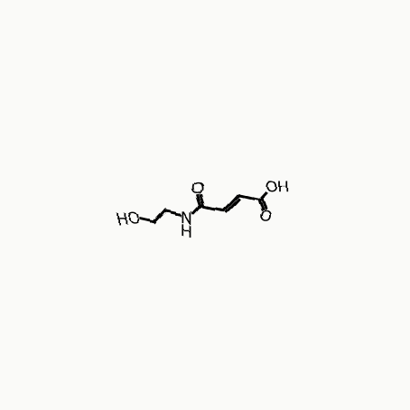 O=C(O)C=CC(=O)NCCO